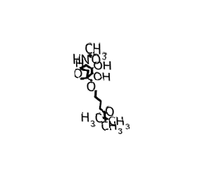 CC(=O)N[C@@H]1[C@@H](O)[C@@H](O)[C@]2(COCCCCC(=O)C(C)(C)C)CO[C@@H]1C2